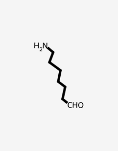 NCCCCCCC=O